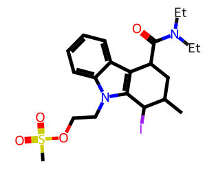 CCN(CC)C(=O)C1CC(C)C(I)c2c1c1ccccc1n2CCOS(C)(=O)=O